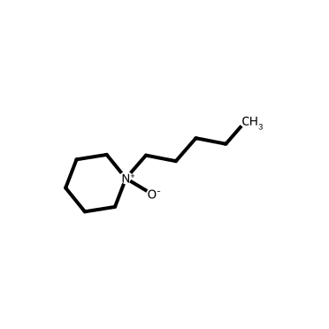 CCCCC[N+]1([O-])CCCCC1